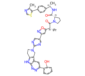 Cc1ncsc1-c1ccc([C@H](C)NC(=O)[C@@H]2CCCN2C(=O)[C@@H](c2cc(-c3cnc(N4CCc5[nH]c6nnc(-c7ccccc7O)cc6c5C4)nc3)no2)C(C)C)cc1